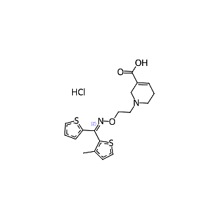 Cc1ccsc1/C(=N\OCCN1CCC=C(C(=O)O)C1)c1cccs1.Cl